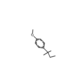 CCC(C)(C)c1ccc(OC)cc1